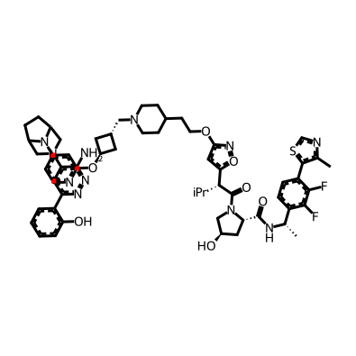 Cc1ncsc1-c1ccc([C@H](C)NC(=O)[C@@H]2C[C@@H](O)CN2C(=O)[C@@H](c2cc(OCCC3CCN(C[C@H]4C[C@H](Oc5cc(N6C7CCC6CN(c6cc(-c8ccccc8O)nnc6N)C7)ccn5)C4)CC3)no2)C(C)C)c(F)c1F